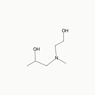 CC(O)CN(C)CCO